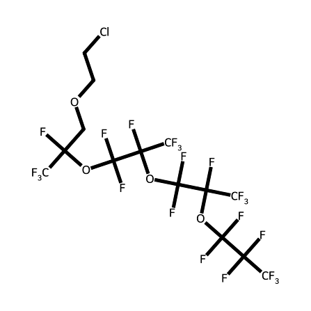 FC(F)(F)C(F)(COCCCl)OC(F)(F)C(F)(OC(F)(F)C(F)(OC(F)(F)C(F)(F)C(F)(F)F)C(F)(F)F)C(F)(F)F